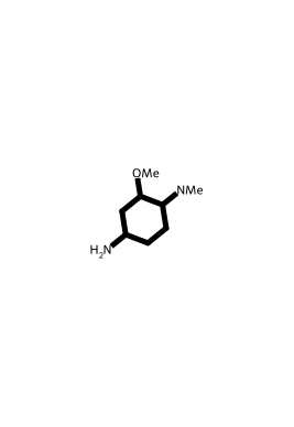 CNC1CCC(N)CC1OC